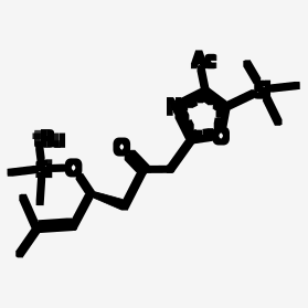 CC(=O)c1nc(CC(=O)C[C@@H](C=C(C)C)O[Si](C)(C)C(C)(C)C)oc1[Si](C)(C)C